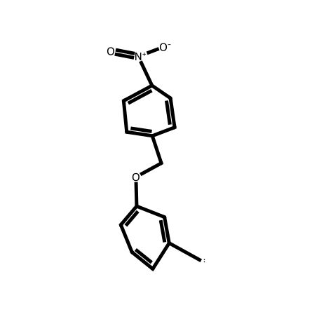 [CH]c1cccc(OCc2ccc([N+](=O)[O-])cc2)c1